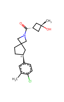 Cc1cc([C@H]2CCC3(C2)CN(C(=O)[C@H]2C[C@@](C)(O)C2)C3)ccc1Cl